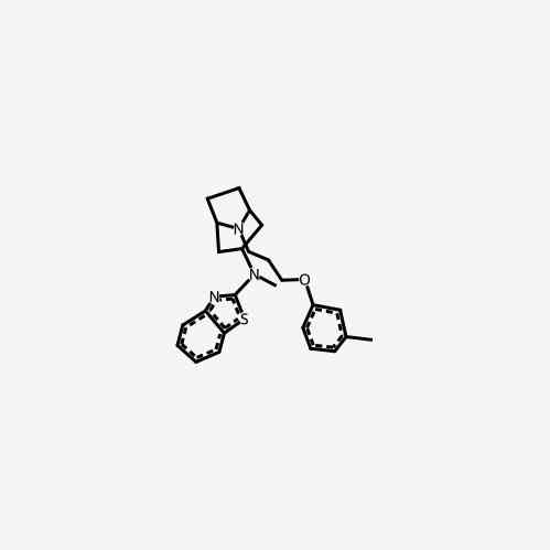 Cc1cccc(OCCCN2C3CCC2CC(N(C)c2nc4ccccc4s2)C3)c1